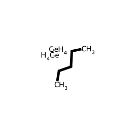 CCCCC.[GeH4].[GeH4]